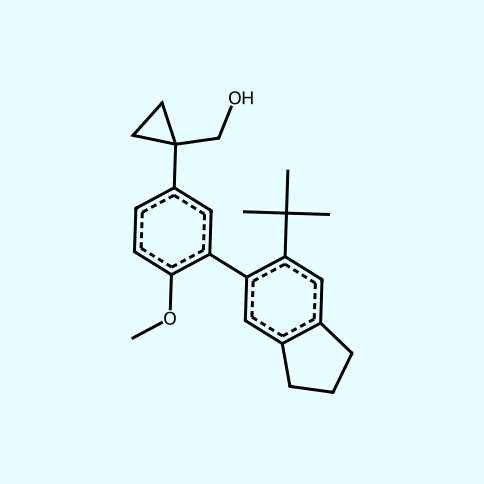 COc1ccc(C2(CO)CC2)cc1-c1cc2c(cc1C(C)(C)C)CCC2